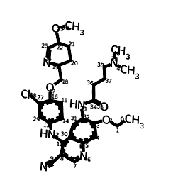 CCOc1cc2ncc(C#N)c(Nc3ccc(OCC4CCC(OC)C=N4)c(Cl)c3)c2cc1NC(=O)CCCN(C)C